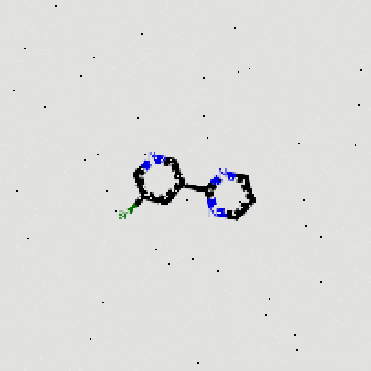 Brc1cncc(-c2ncccn2)c1